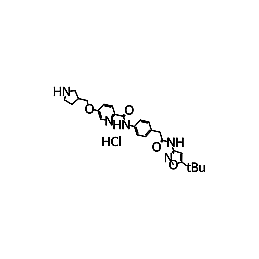 CC(C)(C)c1cc(NC(=O)Cc2ccc(NC(=O)c3ccc(OCC4CCNC4)cn3)cc2)no1.Cl